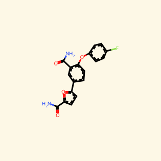 NC(=O)c1ccc(-c2ccc(Oc3ccc(F)cc3)c(C(N)=O)c2)o1